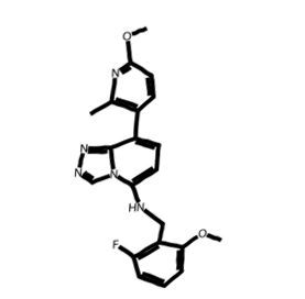 COc1ccc(-c2ccc(NCc3c(F)cccc3OC)n3cnnc23)c(C)n1